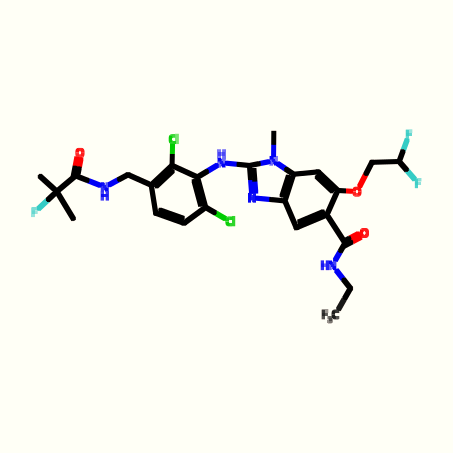 Cn1c(Nc2c(Cl)ccc(CNC(=O)C(C)(C)F)c2Cl)nc2cc(C(=O)NCC(F)(F)F)c(OCC(F)F)cc21